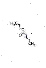 C=C/C=C/C(=O)OCC=C